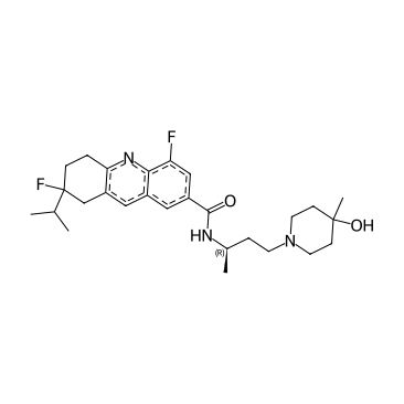 CC(C)C1(F)CCc2nc3c(F)cc(C(=O)N[C@H](C)CCN4CCC(C)(O)CC4)cc3cc2C1